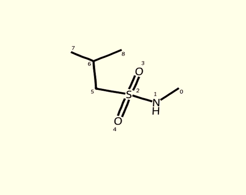 CNS(=O)(=O)CC(C)C